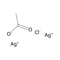 CC(=O)[O-].[Ag+].[Ag+].[Cl-]